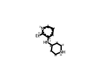 CCc1ncccc1NC1CCNCC1